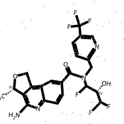 C[C@@H]1OCc2c1c(N)nc1ccc(C(=O)N(Cc3ccc(C(F)(F)F)cn3)C(F)[C@H](O)C(F)F)cc21